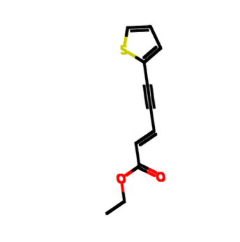 CCOC(=O)C=CC#Cc1cccs1